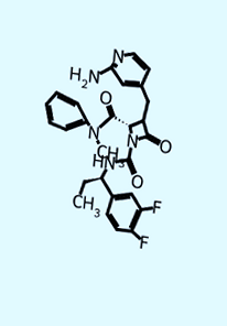 CC[C@@H](NC(=O)N1C(=O)C(Cc2ccnc(N)c2)[C@H]1C(=O)N(C)c1ccccc1)c1ccc(F)c(F)c1